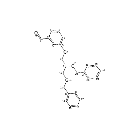 O=Cc1cccc(OC[C@@H](COCc2ccccc2)OCc2ccccc2)c1